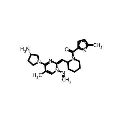 C=NN1C=C(C)C(N2CC[C@H](N)C2)=N/C1=C/C1CCCCN1C(=O)c1ccc(C)s1